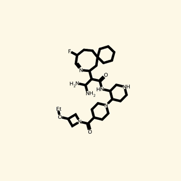 CCOC1CN(C(=O)C2CCN(C3CCNCC3NC(=O)C(C(N)N)C3CC4(CCCCC4)CCC(F)/C=N\3)CC2)C1